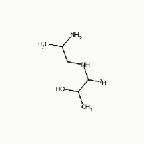 [2H]C(NCC(C)N)C(C)O